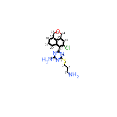 NCCCSc1nc(N)nc(-c2c(Cl)cc3c4c(cccc24)COC3)n1